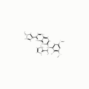 COc1cc(OC)c(F)c(N(c2ccc3ncc(-c4cnn(C)c4)nc3n2)C(C)c2ncc[nH]2)c1